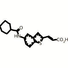 O=C(O)/C=C/c1cc2cc(NC(=O)C3CCCCC3)ccc2s1